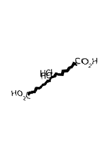 Cl.Cl.O=C(O)CCCCCCCCCCCCCCCCCCC(=O)O